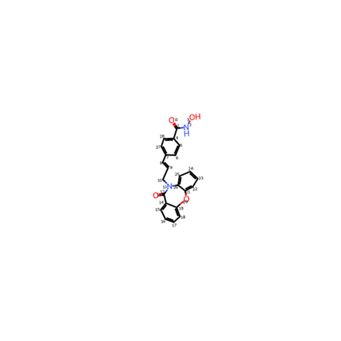 O=C(NO)c1ccc(C=CCN2C(=O)c3ccccc3Oc3ccccc32)cc1